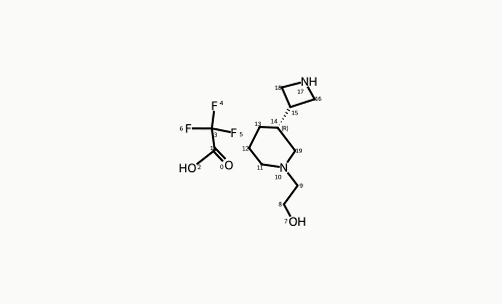 O=C(O)C(F)(F)F.OCCN1CCC[C@H](C2CNC2)C1